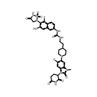 Cn1c(=O)n(C2CCC(=O)NC2=O)c2cc(F)c(N3CCC(CCNC(=O)Nc4ccc5c(F)c(N6CC(=O)NS6(=O)=O)c(O)cc5c4)CC3)cc21